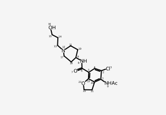 CC(=O)Nc1c(Cl)cc(C(=O)NC2CCN(CCCO)CC2)c2c1CCO2